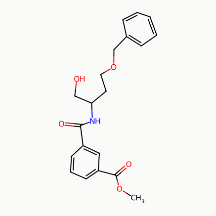 COC(=O)c1cccc(C(=O)NC(CO)CCOCc2ccccc2)c1